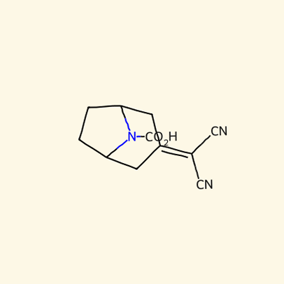 N#CC(C#N)=C1CC2CCC(C1)N2C(=O)O